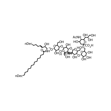 CCCCCCCCCCCCC/C=C/[C@@H](O)[C@H](CO[C@@H]1OC(CO)[C@@H](O[C@@H]2OC(CO)[C@H](O)[C@H](O[C@@H]3OC(CO)[C@@H](O[C@@H]4OC(CO[C@]5(C(=O)O)CC(O)[C@@H](NC(C)=O)C([C@H](O)[C@H](O)CO)O5)[C@H](O)[C@H](O)C4O)[C@H](O)C3NC(C)=O)C2O)[C@H](O)C1O)NC(=O)CCCCCCCCCCCCCCCCCCCCCCC